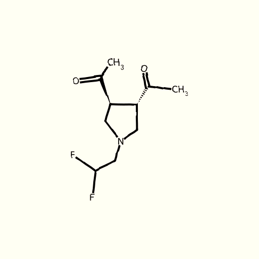 CC(=O)[C@@H]1CN(CC(F)F)C[C@H]1C(C)=O